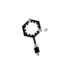 N#[N+]c1ccncn1.[Cl-]